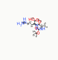 CC(C)[C@H](NC(=O)OC(C)(C)C)C(=O)N[C@@H](CCCNN)C(=O)O